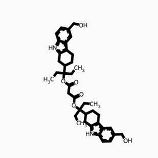 CCC(CC)(OC(=O)CC(=O)OC(CC)(CC)C1CCc2c([nH]c3ccc(CO)cc23)C1)C1CCc2c([nH]c3ccc(CO)cc23)C1